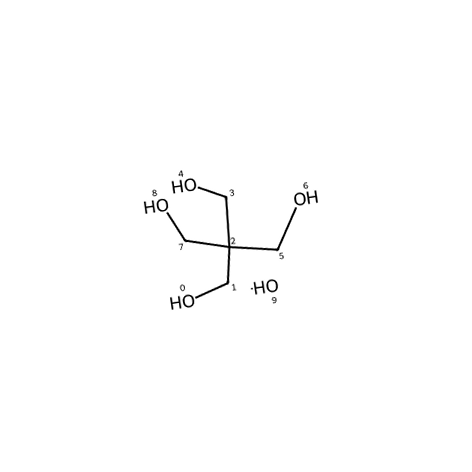 OCC(CO)(CO)CO.[OH]